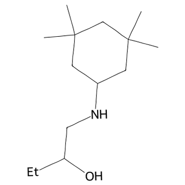 CCC(O)CNC1CC(C)(C)CC(C)(C)C1